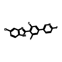 Fc1ccc(-c2cc(F)c(-c3nc4cc(Cl)ccc4[nH]3)c(F)c2)cn1